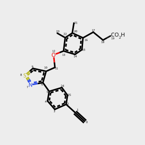 C#Cc1ccc(-c2nscc2COc2ccc(CCC(=O)O)c(C)c2C)cc1